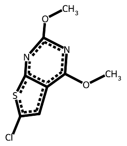 COc1nc(OC)c2cc(Cl)sc2n1